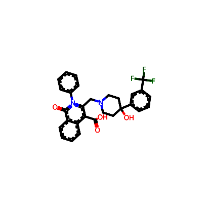 O=C(O)c1c(CN2CCC(O)(c3cccc(C(F)(F)F)c3)CC2)n(-c2ccccc2)c(=O)c2ccccc12